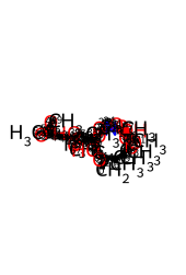 C=CCC1/C=C(\C)CC(C)CC(OC)C2OC(O)(C(=O)C(=O)N3CCCCC3C(=O)OC(C(C)=CC3CCC(O)(CC=CC=Cc4cc(OC)cc(OC)c4)C(OC)C3)C(C)C(O)CC1=O)C(C)CC2OC